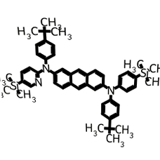 CC(C)(C)c1ccc(N(c2ccc([Si](C)(C)C)cc2)c2ccc3cc4cc(N(c5ccc(C(C)(C)C)cc5)c5ccc([Si](C)(C)C)cn5)ccc4cc3c2)cc1